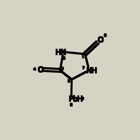 O=C1NC(=O)[CH]([PbH])N1